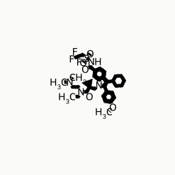 CCN(CCN(C)C)C(=O)C1(Cn2c(-c3ccc(OC)cc3)c(C3CCCCC3)c3ccc(C(=O)NS(=O)(=O)CC(F)(F)F)cc32)CC1